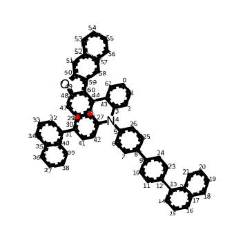 c1ccc(N(c2ccc(-c3ccc(-c4cccc5ccccc45)cc3)cc2)c2ccc(-c3cccc4ccccc34)cc2)c(-c2cccc3oc4cc5ccccc5cc4c23)c1